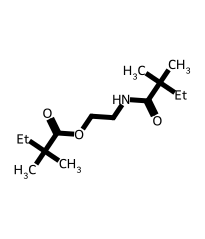 CCC(C)(C)C(=O)NCCOC(=O)C(C)(C)CC